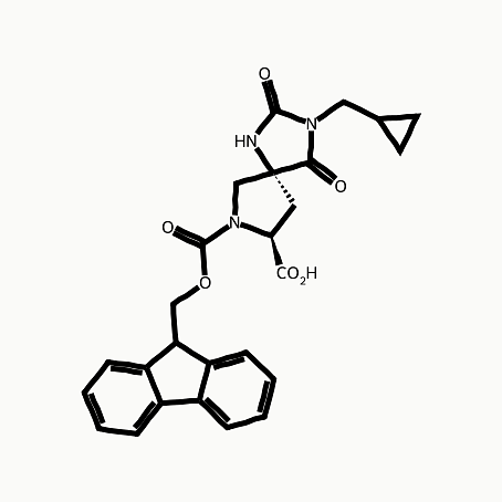 O=C(O)[C@@H]1C[C@]2(CN1C(=O)OCC1c3ccccc3-c3ccccc31)NC(=O)N(CC1CC1)C2=O